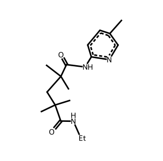 CCNC(=O)C(C)(C)CC(C)(C)C(=O)Nc1ccc(C)cn1